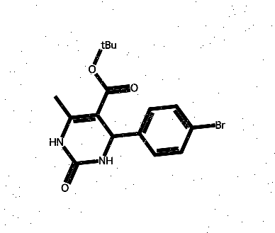 CC1=C(C(=O)OC(C)(C)C)C(c2ccc(Br)cc2)NC(=O)N1